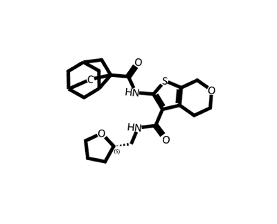 O=C(NC[C@@H]1CCCO1)c1c(NC(=O)C23CC4CC(CC2C4)C3)sc2c1CCOC2